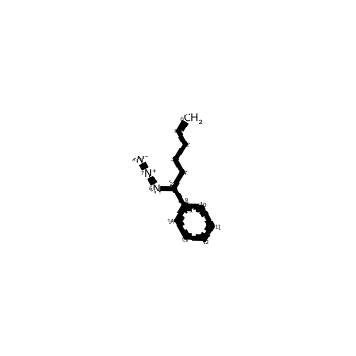 C=CCCCC(N=[N+]=[N-])c1ccccc1